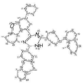 c1ccc(-c2cc(C3=NC(c4ccc5c(c4)oc4ccccc45)NC(c4ccc(-c5cccc6ccccc56)cc4)=N3)c3c(c2)oc2ccccc23)cc1